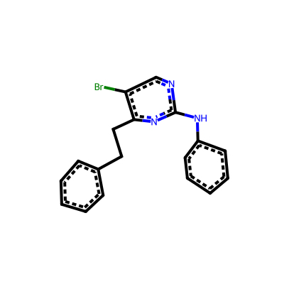 Brc1cnc(Nc2ccccc2)nc1CCc1ccccc1